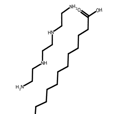 CCCCCCCCCCCC(=O)O.NCCNCCNCCN